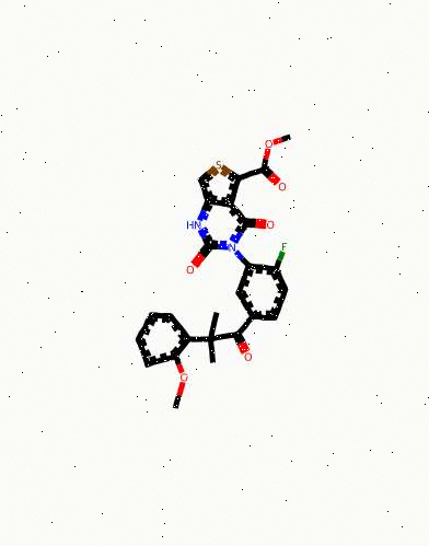 COC(=O)c1scc2[nH]c(=O)n(-c3cc(C(=O)C(C)(C)c4ccccc4OC)ccc3F)c(=O)c12